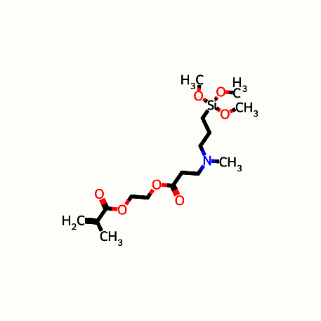 C=C(C)C(=O)OCCOC(=O)CCN(C)CCC[Si](OC)(OC)OC